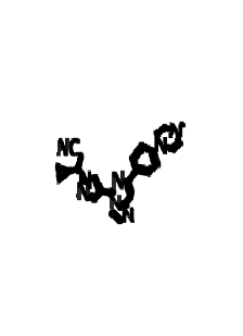 CN1CCN(c2ccc(-c3cc4nccn4c(-c4cnn(C(CC#N)C5CC5)c4)n3)cc2)CC1